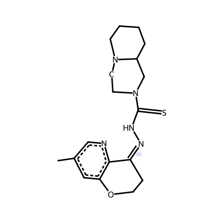 Cc1cnc2c(c1)OCC/C2=N/NC(=S)N1CCN2CCCCC2C1